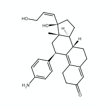 C[C@]12C[C@H](c3ccc(N)cc3)C3=C4CCC(=O)C=C4CC[C@H]3[C@@H]1CC[C@@]2(O)/C=C\CO